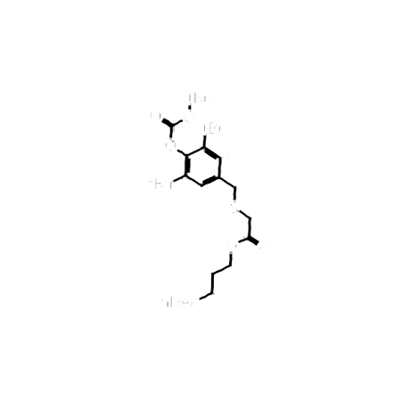 CCCCCCCCCCCCCOC(=O)CSCc1cc(C(C)(C)C)c(OC(=O)OC(C)(C)C)c(C(C)(C)C)c1